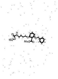 COC(=O)c1c(OCCCCNC(=O)OC(C)(C)C)cccc1OCc1ccccc1